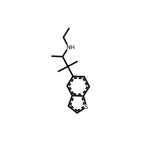 CCNC(C)C(C)(C)c1ccc2sccc2c1